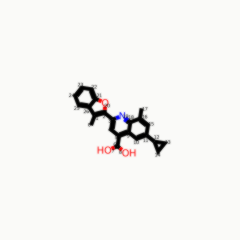 Cc1c(-c2cc(C(O)O)c3cc(C4CC4)cc(C)c3n2)oc2ccccc12